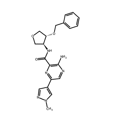 Cn1cc(-c2cnc(N)c(C(=O)N[C@H]3COC[C@@H]3OCc3ccccc3)n2)cn1